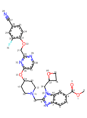 COC(=O)c1ccc2nc(CN3CCC(Oc4ccnc(COc5ccc(C#N)cc5F)n4)CC3)n(CC3CCO3)c2c1